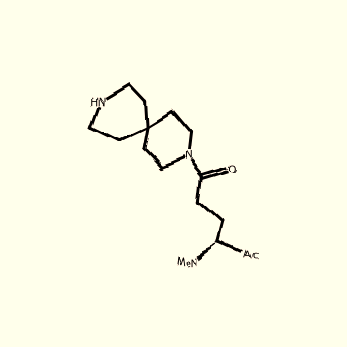 CN[C@@H](CCC(=O)N1CCC2(CCNCC2)CC1)C(C)=O